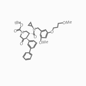 COCCCOc1cc(CN(C(=O)[C@H]2CN(C(=O)OC(C)(C)C)CC(=O)[C@@H]2c2cccc(-c3ccccc3)c2)C2CC2)cc(OC)c1